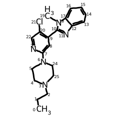 CCCN1CCN(c2cc(-c3nc4ccccc4n3C)c(Cl)cn2)CC1